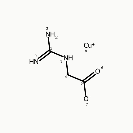 N=C(N)NCC(=O)[O-].[Cu+]